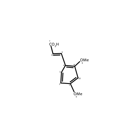 COc1ccc(/C=C/C(=O)O)c(OC)c1